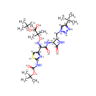 CC(C)(C)OC(=O)Nc1nc(/C(=N/OC(C)(C)C(=O)OC(C)(C)C)C(=O)N[C@@H]2C(=O)N[C@@H]2Cn2cc([Si](C)(C)C)nn2)cs1